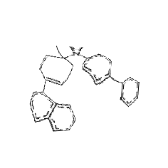 CC1(Nc2ccc(-c3ccccc3)cc2)C=CC(c2cccc3ccccc23)=CC1